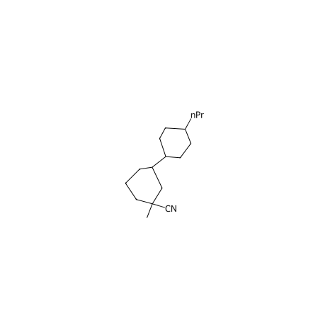 CCCC1CCC(C2CCCC(C)(C#N)C2)CC1